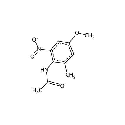 COc1cc(C)c(NC(C)=O)c([N+](=O)[O-])c1